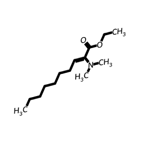 CCCCCCCC=C(C(=O)OCC)N(C)C